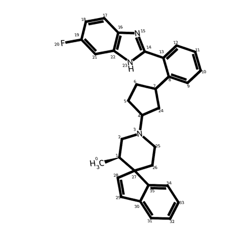 C[C@H]1CN(C2CCC(c3ccccc3-c3nc4ccc(F)cc4[nH]3)C2)CCC12C=Cc1ccccc12